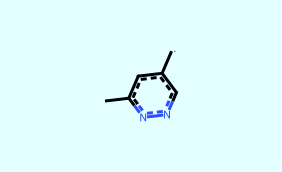 [CH2]c1cnnc(C)c1